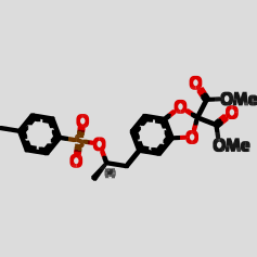 COC(=O)C1(C(=O)OC)Oc2ccc(C[C@@H](C)OS(=O)(=O)c3ccc(C)cc3)cc2O1